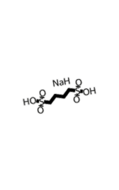 O=S(=O)(O)CCCCS(=O)(=O)O.[NaH]